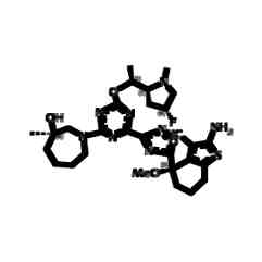 CO[C@]1(c2nc(-c3nc(O[C@@H](C)[C@@H]4C[C@@H](F)CN4C)nc(N4CCCC[C@@](C)(O)C4)n3)no2)CCCc2sc(N)c(C#N)c21